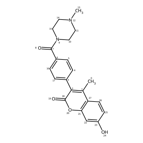 Cc1c(-c2ccc(C(=O)N3CCN(C)CC3)cc2)c(=O)oc2cc(O)ccc12